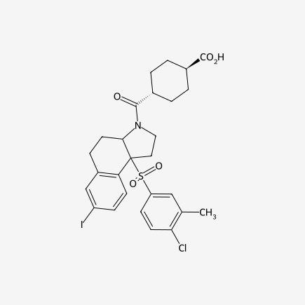 Cc1cc(S(=O)(=O)C23CCN(C(=O)[C@H]4CC[C@H](C(=O)O)CC4)C2CCc2cc(I)ccc23)ccc1Cl